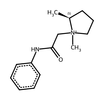 C[C@H]1CCC[N+]1(C)CC(=O)Nc1ccccc1